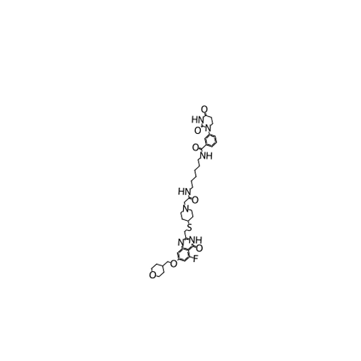 O=C(CN1CCC(SCc2nc3cc(OCC4CCOCC4)cc(F)c3c(=O)[nH]2)CC1)NCCCCCCNC(=O)c1cccc(N2CCC(=O)NC2=O)c1